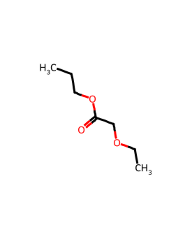 CCCOC(=O)COCC